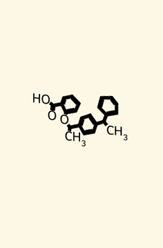 CC(Oc1ccccc1C(=O)O)c1ccc(C(C)c2ccccc2)cc1